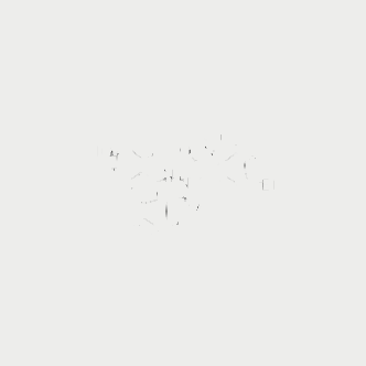 CCc1ccc(N(CC)C(=O)Cn2nc(-c3ccc(O)cc3)c3ccccc3c2=O)cc1